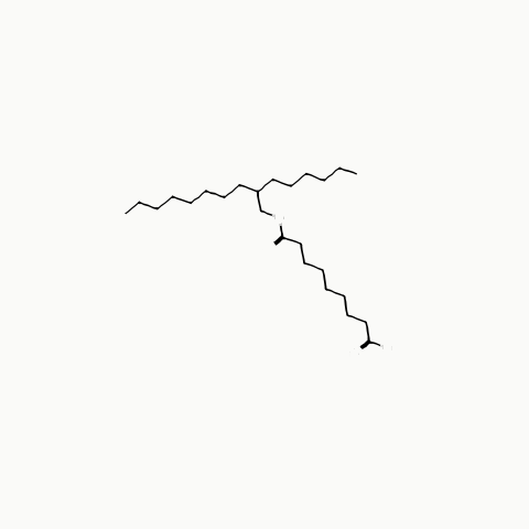 CCCCCCCCC(CCCCCC)COC(=O)CCCCCCCC(=O)O